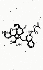 CC(C)OC(=O)Nc1cc(Cn2c(C(=O)O)c(-c3ccc[nH]c3=O)c3c4occc4c(F)cc32)c2ccccc2n1